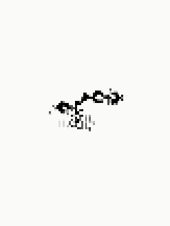 CC(C)(C)OC(=O)N(CC[C@@H]1C[C@@H]1C1CCN(c2ncc(Cl)cn2)CC1)c1ccc(N)cn1